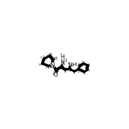 NC(Cc1ccccc1)C[C@H](N)C(=O)N1CCCCC1